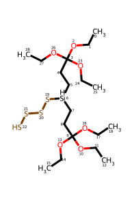 CCOC(CC[SiH](CCC(OCC)(OCC)OCC)SSSS)(OCC)OCC